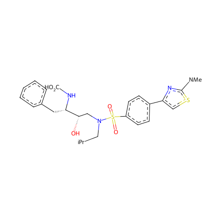 CNc1nc(-c2ccc(S(=O)(=O)N(CC(C)C)C[C@H](O)[C@H](Cc3ccccc3)NC(=O)O)cc2)cs1